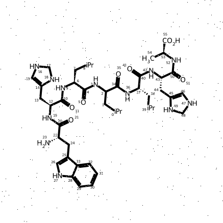 CC(C)CC(NC(=O)[C@H](CC(C)C)NC(=O)[C@H](CC1=CNCN1)NC(=O)[C@@H](N)Cc1c[nH]c2ccccc12)C(=O)N[C@@H](CC(C)C)C(=O)N[C@@H](CC1=CNCN1)C(=O)N[C@@H](C)C(=O)O